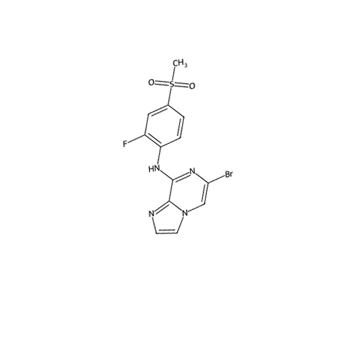 CS(=O)(=O)c1ccc(Nc2nc(Br)cn3ccnc23)c(F)c1